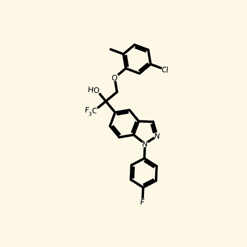 Cc1ccc(Cl)cc1OCC(O)(c1ccc2c(cnn2-c2ccc(F)cc2)c1)C(F)(F)F